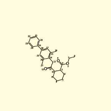 CCOC(=O)C1CCCCC1C(=O)Cc1c(C)cc(-c2ccccc2)cc1C